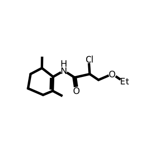 CCOCC(Cl)C(=O)NC1=C(C)CCCC1C